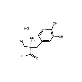 Cl.NC(CO)(Cc1ccc(O)c(O)c1)C(=O)O